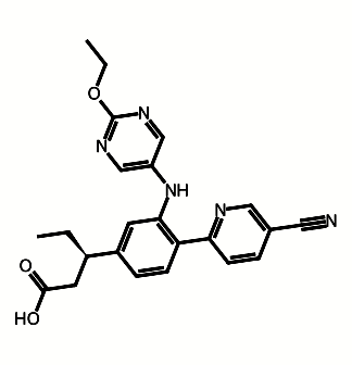 CCOc1ncc(Nc2cc([C@H](CC)CC(=O)O)ccc2-c2ccc(C#N)cn2)cn1